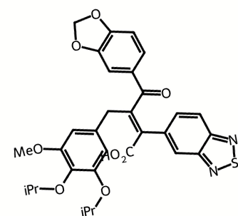 COc1cc(C/C(C(=O)c2ccc3c(c2)OCO3)=C(\C(=O)O)c2ccc3nsnc3c2)cc(OC(C)C)c1OC(C)C